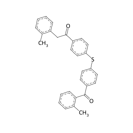 Cc1ccccc1CC(=O)c1ccc(Sc2ccc(C(=O)c3ccccc3C)cc2)cc1